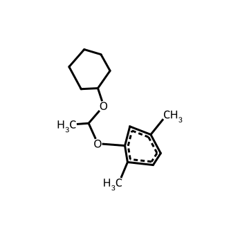 Cc1ccc(C)c(OC(C)OC2CCCCC2)c1